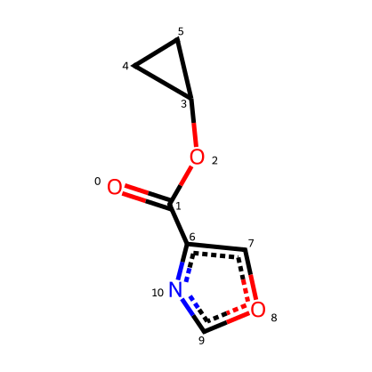 O=C(OC1CC1)c1cocn1